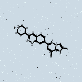 Cc1cn2nc(-c3ccc4cc(C5CCNCC5)nnc4c3)cc(C)c2n1